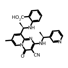 Cc1cc([C@@H](C)Nc2ccccc2C(=O)O)c2nc(N[C@@H](C)c3cccnc3)c(C#N)c(=O)n2c1